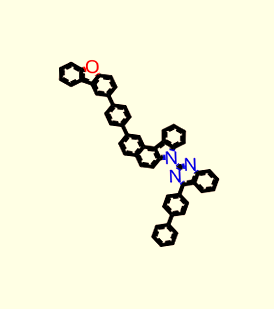 c1ccc(-c2ccc(-c3nc(-n4c5ccccc5c5c6cc(-c7ccc(-c8ccc9oc%10ccccc%10c9c8)cc7)ccc6ccc54)nc4ccccc34)cc2)cc1